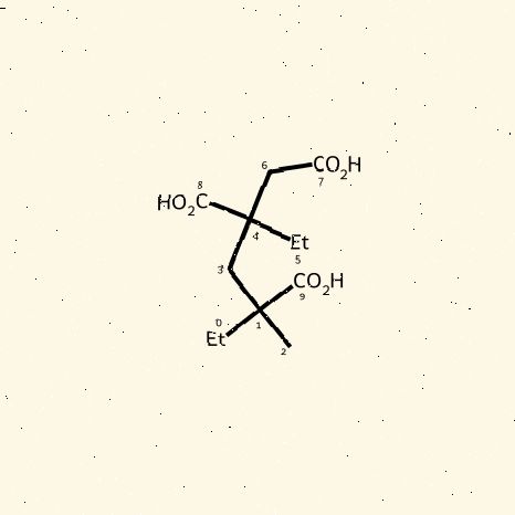 CCC(C)(CC(CC)(CC(=O)O)C(=O)O)C(=O)O